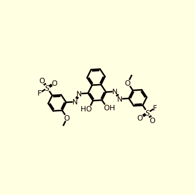 COc1ccc(S(=O)(=O)F)cc1/N=N/c1c(O)c(O)c(/N=N/c2cc(S(=O)(=O)F)ccc2OC)c2ccccc12